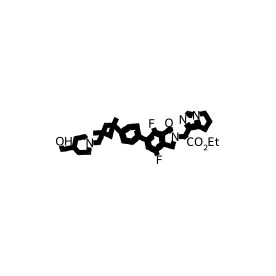 CCOC(=O)C(c1ncn2c1CCC2)N1Cc2c(F)cc(-c3ccc(C4(C)CC(C)(CN5CCC(CO)CC5)C4)cc3)c(F)c2C1=O